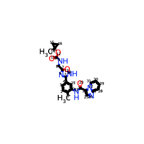 Cc1ccc(C2N=C(CNC(=O)OC3(C)CC3)ON2)cc1NC(=O)c1cnc2ccccn12